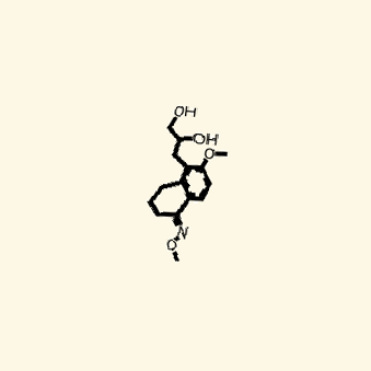 CON=C1CCCc2c1ccc(OC)c2CC(O)CO